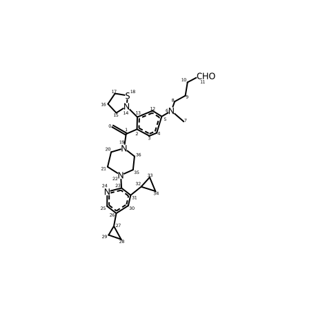 C=C(c1ccc(N(C)CCCC=O)cc1N1CCCS1)N1CCN(c2ncc(C3CC3)cc2C2CC2)CC1